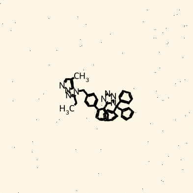 CCc1nn2ncc(C)c2n1Cc1ccc(-c2ccccc2-c2nnnn2C(c2ccccc2)(c2ccccc2)c2ccccc2)cc1